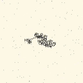 CCCC(NC(=O)[C@@H]1[C@H]2CCC[C@H]2CN1C(=O)[C@@H](NC(=O)[C@H](NC(=O)CCCCc1nnc[nH]1)C(C)C)C(C)C)C(=O)C(=O)N[C@H](C)c1ccncc1